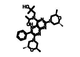 CC(O)N(CC(C)(C)O)c1nc(N2C[C@@H](C)O[C@H](C)C2)nc2nc(N3C[C@@H](C)O[C@H](C)C3)c(-c3ccccc3)nc12